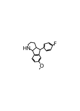 COc1ccc2c(c1)C(c1ccc(F)cc1)C1CCCNC21